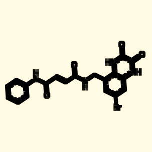 O=C(C=CC(=O)Nc1ccccc1)NCc1cc(Br)cc2[nH]c(=O)c(=O)[nH]c12